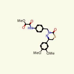 COC(=O)C(=O)Nc1ccc(CN2N=C(c3ccc(OC)c(OC)c3)CSC2=O)cc1